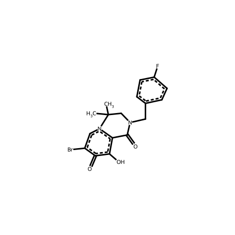 CC1(C)CN(Cc2ccc(F)cc2)C(=O)c2c(O)c(=O)c(Br)cn21